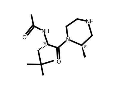 CC(=O)N[C@@H](CC(C)(C)C)C(=O)N1CCNC[C@H]1C